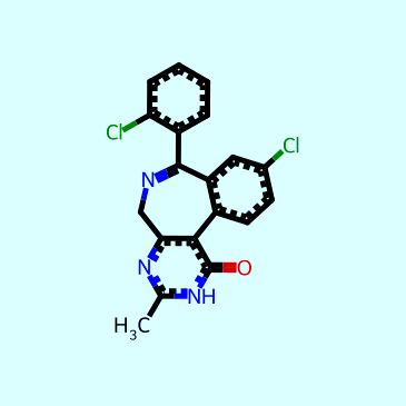 Cc1nc2c(c(=O)[nH]1)-c1ccc(Cl)cc1C(c1ccccc1Cl)=NC2